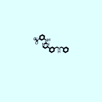 O=[N+]([O-])c1cccc(Nc2nccc(-c3cccc(CNCc4ccccc4)c3)n2)c1